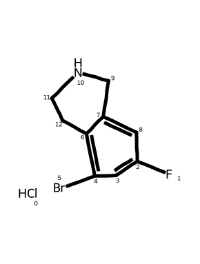 Cl.Fc1cc(Br)c2c(c1)CNCC2